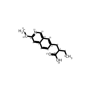 CCC(Cc1ccc2cc(OC)ncc2c1)C(=O)O